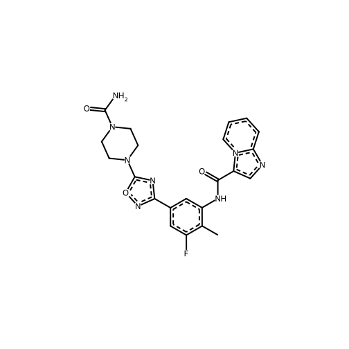 Cc1c(F)cc(-c2noc(N3CCN(C(N)=O)CC3)n2)cc1NC(=O)c1cnc2ccccn12